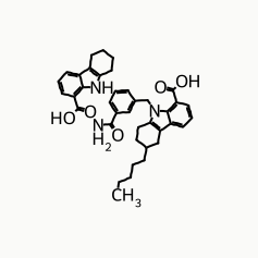 CCCCCC1CCc2c(c3cccc(C(=O)O)c3n2Cc2cccc(C(N)=O)c2)C1.O=C(O)c1cccc2c3c([nH]c12)CCCC3